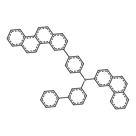 c1ccc(-c2cccc(N(c3ccc(-c4ccc5ccc6c7ccccc7ccc6c5c4)cc3)c3ccc4ccc5ccccc5c4c3)c2)cc1